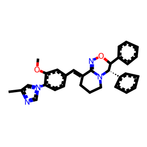 COc1cc(/C=C2\CCCN3C2=NOC(c2ccccc2)[C@@H]3c2ccccc2)ccc1-n1cnc(C)c1